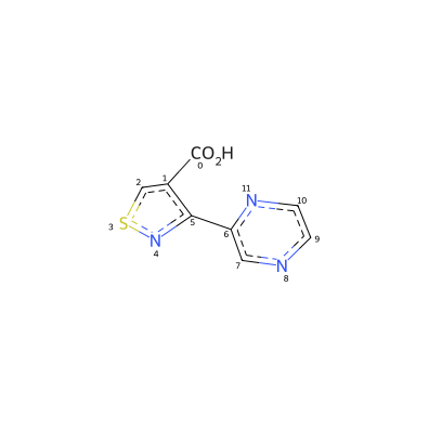 O=C(O)c1csnc1-c1cnccn1